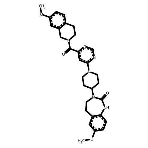 COc1ccc2c(c1)CN(C(=O)c1cc(N3CCC(N4CCc5cc(OC)ccc5NC4=O)CC3)ncn1)CC2